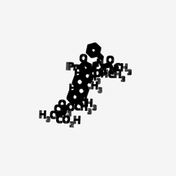 CC(C)C1=C2[C@H]3CC[C@@H]4[C@@]5(C)CC[C@H](OC(=O)CC(C)(C)C(=O)O)C(C)(C)[C@@H]5CC[C@@]4(C)[C@]3(C)CC[C@@]2([C@@H](O)CN(Cc2ccccc2)C(=O)C(=O)N(C)C)CC1=O